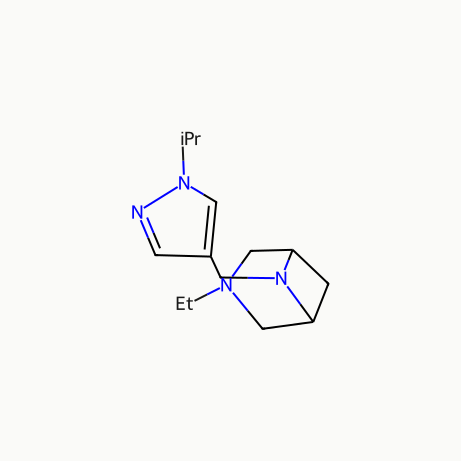 CCN1CC2CC(C1)N2Cc1cnn(C(C)C)c1